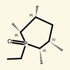 CCP1(=O)[C@H](C)[C@H](C)C[C@H](C)[C@@H]1C